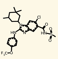 CC1CC(n2c(Nc3ccc(OC(F)(F)F)cc3)nc3cc(C(=O)NS(C)(=O)=O)c(Cl)cc32)CC(C)(C)C1